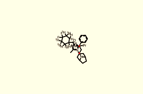 [2H]C1([2H])C([2H])([2H])C([2H])(C(=O)NC(CCN2C3CCC2CC(n2c(C)nnc2C(C)C)C3)c2ccccc2)C([2H])([2H])C([2H])([2H])C1(F)F